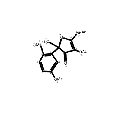 COc1ccc(OC)c(C2(C)OC(NC(C)=O)=C(OC(C)=O)C2=O)c1